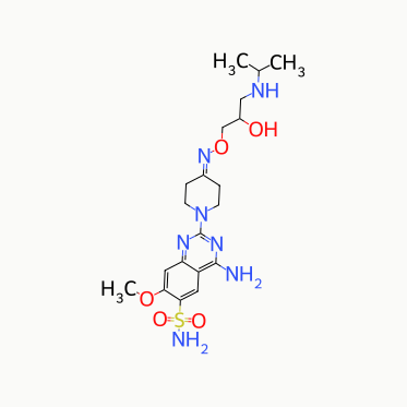 COc1cc2nc(N3CCC(=NOCC(O)CNC(C)C)CC3)nc(N)c2cc1S(N)(=O)=O